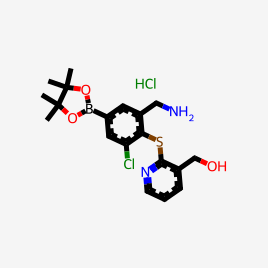 CC1(C)OB(c2cc(Cl)c(Sc3ncccc3CO)c(CN)c2)OC1(C)C.Cl